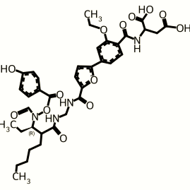 CCCCCC(C(=O)NCNC(=O)c1ccc(-c2ccc(C(=O)NC(CC(=O)O)C(=O)O)c(OCC)c2)o1)[C@@H](CC)N(C=O)OC(=O)c1ccc(O)cc1